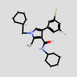 Cc1c(C(=O)NC2CCCCC2)c(-c2cc(F)cc(F)c2)cn1CC1CCCCC1